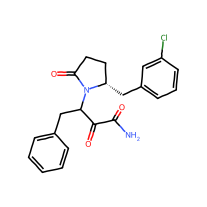 NC(=O)C(=O)C(Cc1ccccc1)N1C(=O)CC[C@@H]1Cc1cccc(Cl)c1